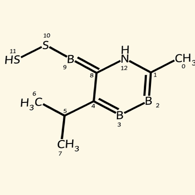 CC1=BB=C(C(C)C)C(=BSS)N1